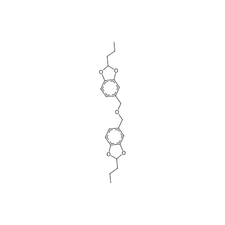 CCCC1Oc2ccc(COCc3ccc4c(c3)OC(CCC)O4)cc2O1